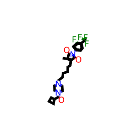 CC1=C(CCCCCCN2CCN(C(=O)C3CCC3)CC2)C(=O)N(c2ccc(C(F)(F)F)c(F)c2)C1=O